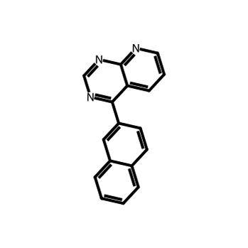 c1ccc2cc(-c3ncnc4ncccc34)ccc2c1